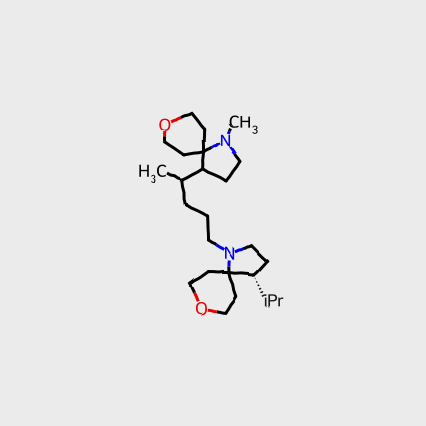 CC(CCCN1CC[C@H](C(C)C)C12CCOCC2)C1CCN(C)C12CCOCC2